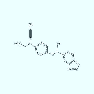 CC#CC(CC(=O)O)c1ccc(OC(c2ccc3cn[nH]c3c2)C(C)C)cc1